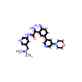 CN(C)Cc1cncc(NC(=O)C(=N)c2cc(-c3cncc(N4CCOCC4)c3)ccc2N)c1